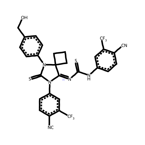 [C-]#[N+]c1ccc(N2C(=S)N(c3ccc(CO)cc3)C3(CCC3)/C2=N\C(=S)Nc2ccc(C#N)c(C(F)(F)F)c2)cc1C(F)(F)F